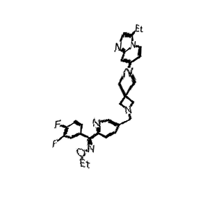 CCON=C(c1ccc(F)c(F)c1)c1ccc(CN2CC3(C2)CN(c2ccn4c(CC)cnc4c2)C3)cn1